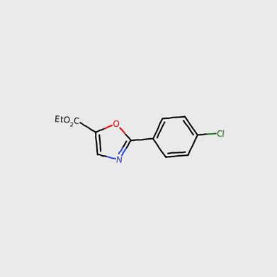 CCOC(=O)c1cnc(-c2ccc(Cl)cc2)o1